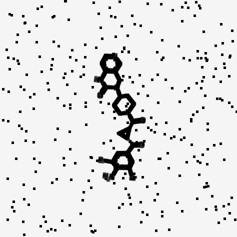 Nc1c(Br)cc(C(=O)[C@@H]2C[C@H]2C(=O)N2CCC(N3Cc4cnccc4NC3=O)CC2)cc1Br